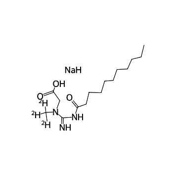 [2H]C([2H])([2H])N(CC(=O)O)C(=N)NC(=O)CCCCCCCCCC.[NaH]